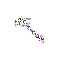 COc1cc(C(=O)NN2CCC(N3CC4(CCN(c5ncc(C6CCC(=O)NC6=O)cn5)CC4)C3)CC2)ccc1Nc1ncc2c(n1)N(C1CCCC1)CC(F)(F)CN2C